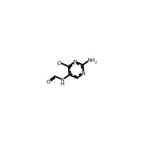 Nc1ncc(NC=O)c(Cl)n1